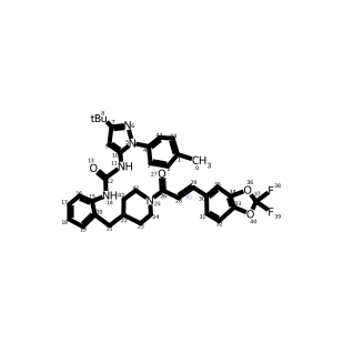 Cc1ccc(-n2nc(C(C)(C)C)cc2NC(=O)Nc2ccccc2CC2CCN(C(=O)/C=C/c3ccc4c(c3)OC(F)(F)O4)CC2)cc1